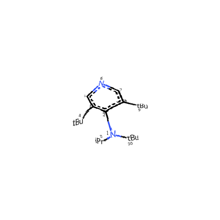 CC(C)N(c1c(C(C)(C)C)cncc1C(C)(C)C)C(C)(C)C